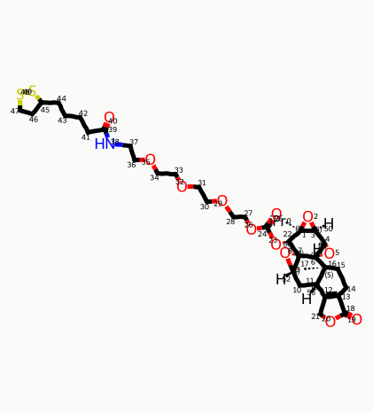 CC(C)[C@]12O[C@H]1[C@@H]1O[C@]13[C@]1(O[C@H]1C[C@H]1C4=C(CC[C@@]13C)C(=O)OC4)[C@@H]2OC(=O)OCCOCCOCCOCCNC(=O)CCCCC1CCSS1